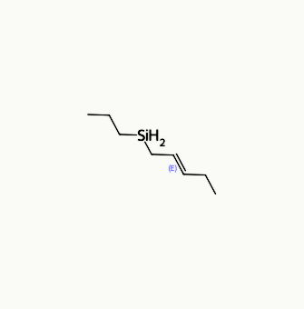 CC/C=C/C[SiH2]CCC